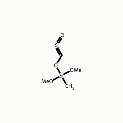 CO[Si](C)(OC)OC=S=O